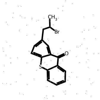 CC(Br)Cc1ccc2sc3ccccc3c(=O)c2c1